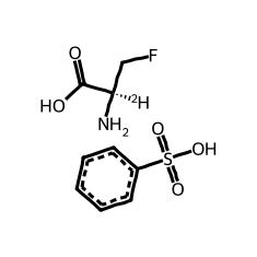 O=S(=O)(O)c1ccccc1.[2H][C@@](N)(CF)C(=O)O